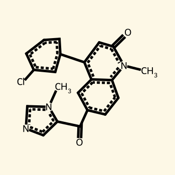 Cn1cncc1C(=O)c1ccc2c(c1)c(-c1cccc(Cl)c1)cc(=O)n2C